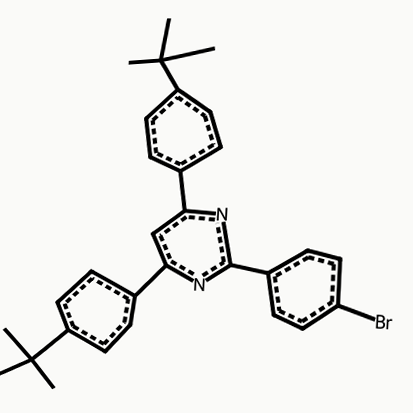 CC(C)(C)c1ccc(-c2cc(-c3ccc(C(C)(C)C)cc3)nc(-c3ccc(Br)cc3)n2)cc1